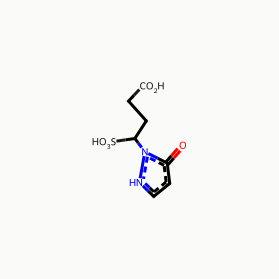 O=C(O)CCC(n1[nH]ccc1=O)S(=O)(=O)O